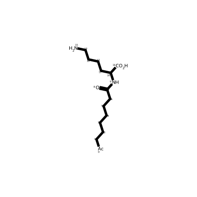 CC(=O)CCCCCCC(=O)NC(CCCCN)C(=O)O